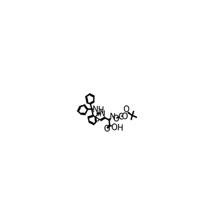 CC(C)(C)C(=O)OCON=C(C(=O)O)c1csc(NC(c2ccccc2)(c2ccccc2)c2ccccc2)n1